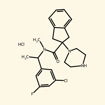 CC(c1cc(F)cc(Cl)c1)N(C)C(=O)C1(N2CCNCC2)Cc2ccccc2C1.Cl